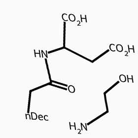 CCCCCCCCCCCC(=O)NC(CC(=O)O)C(=O)O.NCCO